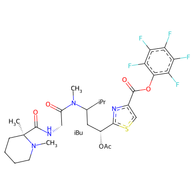 CC[C@H](C)[C@H](NC(=O)[C@]1(C)CCCCN1C)C(=O)N(C)C(C[C@@H](OC(C)=O)c1nc(C(=O)Oc2c(F)c(F)c(F)c(F)c2F)cs1)C(C)C